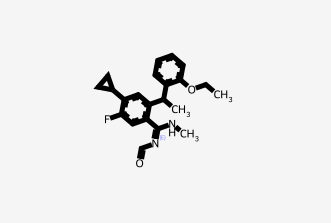 CCOc1ccccc1C(C)c1cc(C2CC2)c(F)cc1/C(=N\C=O)NC